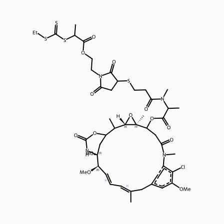 CCSC(=S)SC(C)C(=O)OCCN1C(=O)CC(SCCC(=O)N(C)C(C)C(=O)OC2CC(=O)N(C)c3cc(cc(OC)c3Cl)C/C(C)=C/C=C/[C@@H](OC)[C@@]3(O)CC(OC(=O)N3)C(C)[C@@H]3O[C@@]23C)C1=O